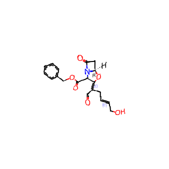 O=C/C(C/C=C/CO)=C1/O[C@@H]2CC(=O)N2C1C(=O)OCc1ccccc1